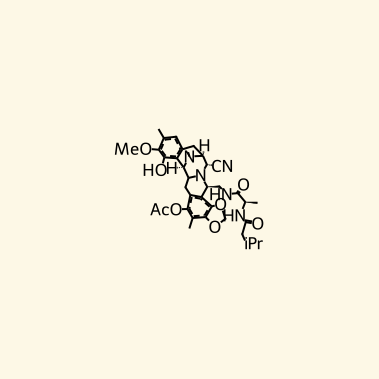 COc1c(C)cc2c(c1O)[C@@H]1C3Cc4c(OC(C)=O)c(C)c5c(c4[C@H](CNC(=O)[C@@H](C)NC(=O)CC(C)C)N3[C@@H](C#N)[C@H](C2)N1C)OCO5